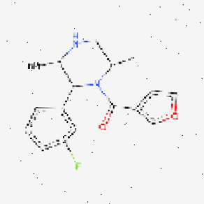 C[CH]CC1NCC(C)N(C(=O)c2ccoc2)C1c1cccc(F)c1